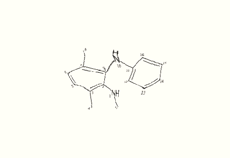 CNc1c(C)ccc(C)c1Nc1ccccc1